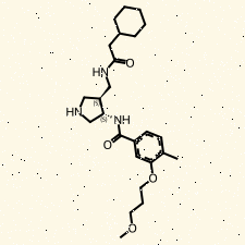 COCCCOc1cc(C(=O)N[C@@H]2CNC[C@H]2CNC(=O)CC2CCCCC2)ccc1C